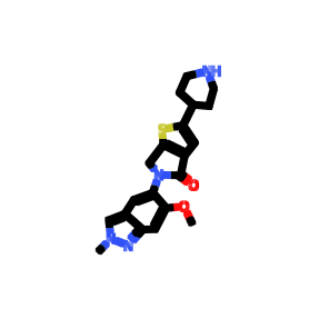 COc1cc2nn(C)cc2cc1N1Cc2sc(C3CCNCC3)cc2C1=O